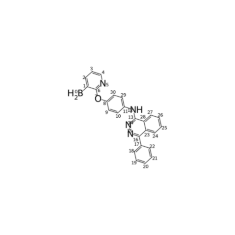 Bc1cccnc1Oc1ccc(Nc2nnc(-c3ccccc3)c3ccccc23)cc1